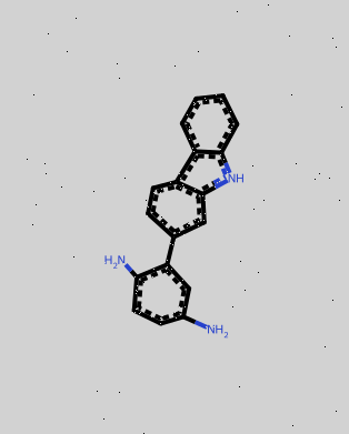 Nc1ccc(N)c(-c2ccc3c(c2)[nH]c2ccccc23)c1